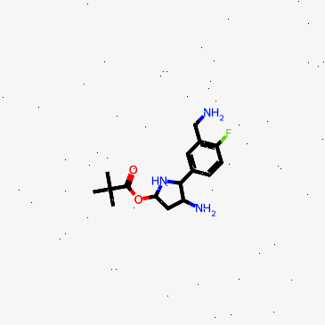 CC(C)(C)C(=O)OC1CC(N)C(c2ccc(F)c(CN)c2)N1